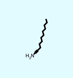 CCCCCCCCCCC#CN